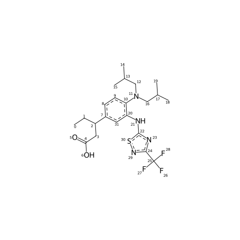 CCC(CC(=O)O)c1ccc(N(CC(C)C)CC(C)C)c(Nc2nc(C(F)(F)F)ns2)c1